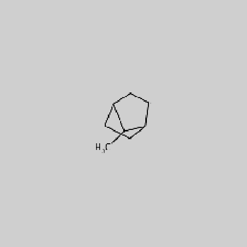 CC1C2[CH]CC1CC2